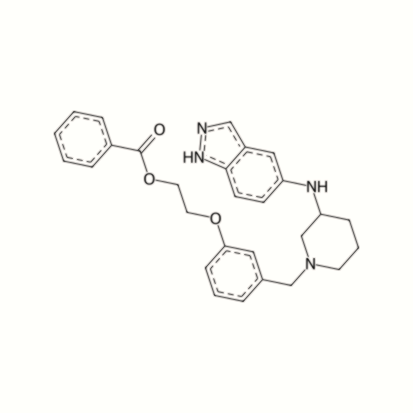 O=C(OCCOc1cccc(CN2CCCC(Nc3ccc4[nH]ncc4c3)C2)c1)c1ccccc1